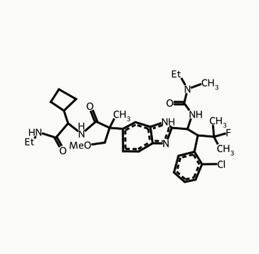 CCNC(=O)C(NC(=O)C(C)(COC)c1ccc2nc(C(NC(=O)N(C)CC)C(c3ccccc3Cl)C(C)(C)F)[nH]c2c1)C1CCC1